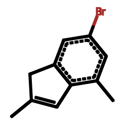 CC1=Cc2c(C)cc(Br)cc2C1